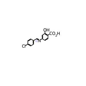 O=C(O)c1ccc(/N=C/c2ccc(Cl)cc2)cc1O